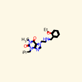 CCOc1ccccc1CNCCn1cnc2c1c(=O)n(C)c(=O)n2CC(C)C